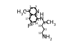 Cc1ccnc2c(NC(C)CCCN)cc(F)cc12